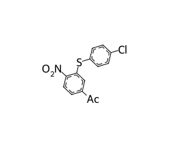 CC(=O)c1ccc([N+](=O)[O-])c(Sc2ccc(Cl)cc2)c1